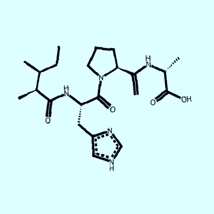 C=C(N[C@H](C)C(=O)O)[C@@H]1CCCN1C(=O)[C@H](Cc1c[nH]cn1)NC(=O)[C@@H](C)C(C)CC